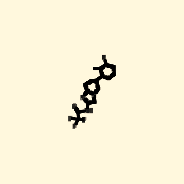 Cc1c(F)cccc1-c1ccc2nc(NC(=O)C(F)(F)F)cn2c1